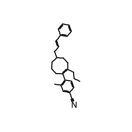 CCC/C1=C(\c2ccc(C#N)cc2C)CCCC(C/C=C/c2ccccc2)CC1